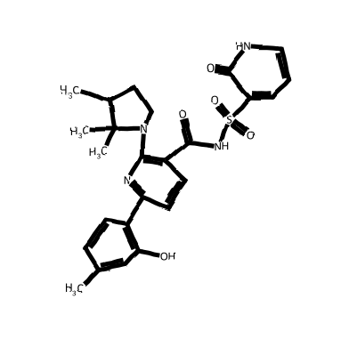 Cc1ccc(-c2ccc(C(=O)NS(=O)(=O)c3ccc[nH]c3=O)c(N3CCC(C)C3(C)C)n2)c(O)c1